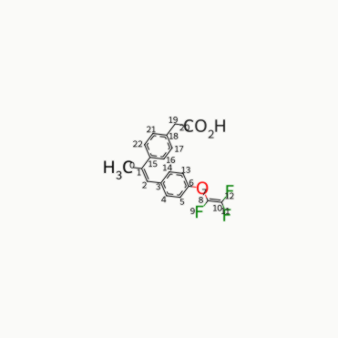 CC(=Cc1ccc(OC(F)=C(F)F)cc1)c1ccc(CC(=O)O)cc1